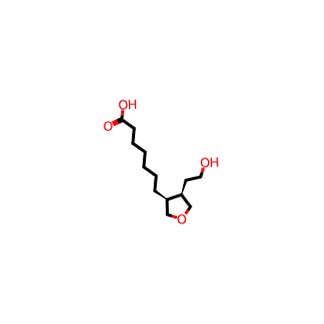 O=C(O)CCCCCC[C@@H]1COC[C@@H]1CCO